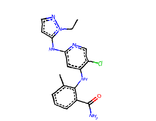 CCn1nccc1Nc1cc(Nc2c(C)cccc2C(N)=O)c(Cl)cn1